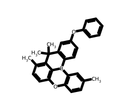 Cc1ccc2c(c1)B1c3ccc(Oc4ccccc4)cc3C(C)(C)c3c(C)ccc(c31)O2